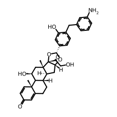 C[C@]12C=CC(=O)C=C1CC[C@@H]1C2[C@@H](O)C[C@@]2(C)[C@H]1C[C@H]1O[C@@H](c3ccc(Cc4cccc(N)c4)c(O)c3)O[C@]12C(=O)CO